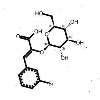 O=C(O)C(=Cc1cccc(Br)c1)O[C@H]1O[C@@H](CO)[C@H](O)[C@@H](O)[C@@H]1O